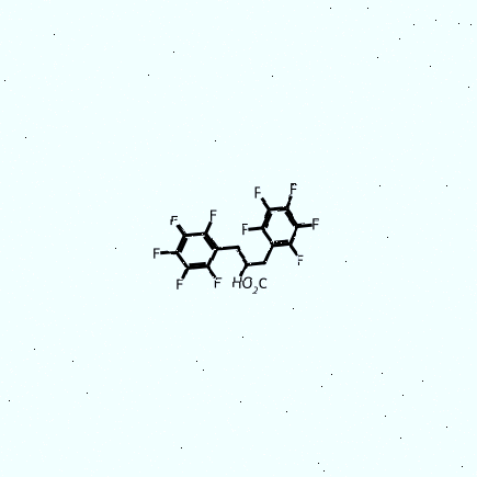 O=C(O)C(Cc1c(F)c(F)c(F)c(F)c1F)Cc1c(F)c(F)c(F)c(F)c1F